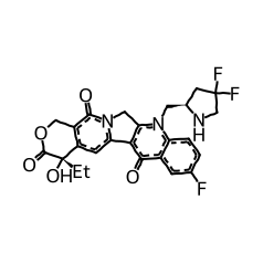 CC[C@@]1(O)C(=O)OCc2c1cc1n(c2=O)Cc2c-1c(=O)c1cc(F)ccc1n2C[C@H]1CC(F)(F)CN1